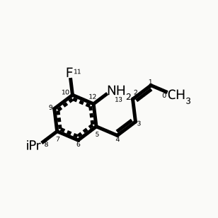 C/C=C\C=C/c1cc(C(C)C)cc(F)c1N